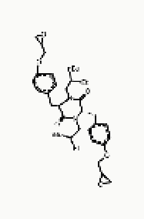 CCCCC(CC)CN1C(=O)[C@H](Cc2ccc(OCC3CO3)cc2)N(CC(CC)CCCC)C(=O)[C@H]1Cc1ccc(OCC2CO2)cc1